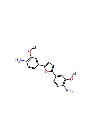 CCOc1cc(-c2ccc(-c3ccc(N)c(OCC)c3)o2)ccc1N